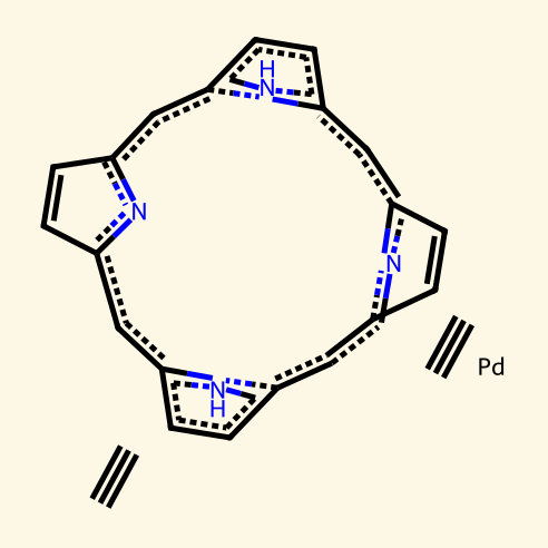 C#C.C#C.C1=Cc2cc3ccc(cc4nc(cc5ccc(cc1n2)[nH]5)C=C4)[nH]3.[Pd]